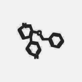 c1ccc(COc2cnccc2-c2ccncc2)cc1